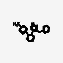 Cc1ccc(-c2ccccc2-c2nnnn2Cc2ccccc2)cc1